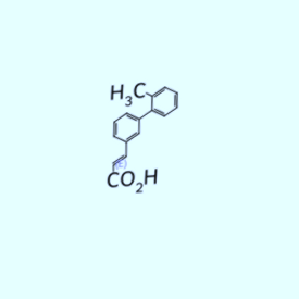 Cc1ccccc1-c1cccc(/C=C/C(=O)O)c1